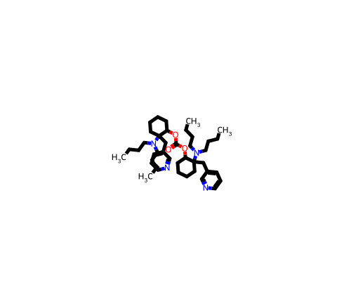 CCCCN(CCCC)C1(Cc2cccnc2)CCCCC1OC(=O)OC1CCCCC1(Cc1cccnc1)N(CCCC)CCCC